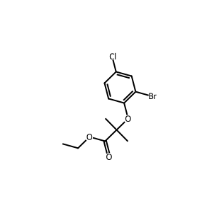 CCOC(=O)C(C)(C)Oc1ccc(Cl)cc1Br